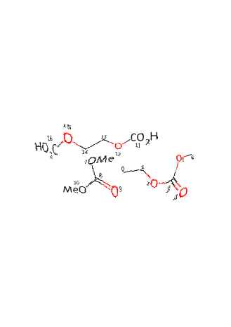 CCOC(=O)OC.COC(=O)OC.O=C(O)OCCOC(=O)O